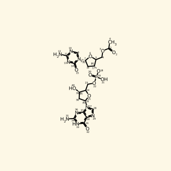 CC(=O)OCC1O[C@@H](n2cnc(N)nc2=O)C[C@H]1OP(=O)(O)OCC1O[C@@H](n2cnc3c(=O)[nH]c(N)nc32)C[C@H]1O